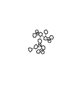 c1ccc(-c2ccc(N(c3ccc(-c4c(-c5ccc6oc7ccccc7c6c5-c5ccccc5)ccc5oc6ccccc6c45)cc3)c3cccc4oc5ccccc5c34)cc2)cc1